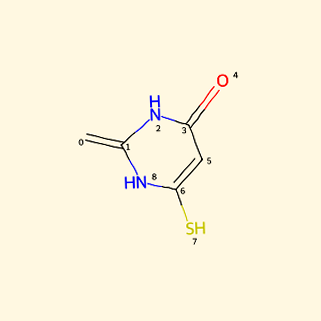 C=C1NC(=O)C=C(S)N1